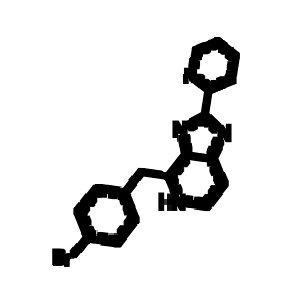 Brc1ccc(Cc2[nH]ccc3nc(-c4ccccn4)nc2-3)cc1